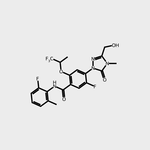 Cc1cccc(F)c1NC(=O)c1cc(F)c(-n2nc(CO)n(C)c2=O)cc1OC(C)C(F)(F)F